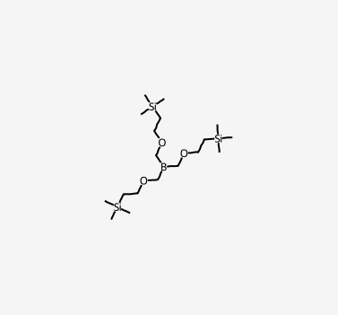 C[Si](C)(C)CCOCB(COCC[Si](C)(C)C)COCC[Si](C)(C)C